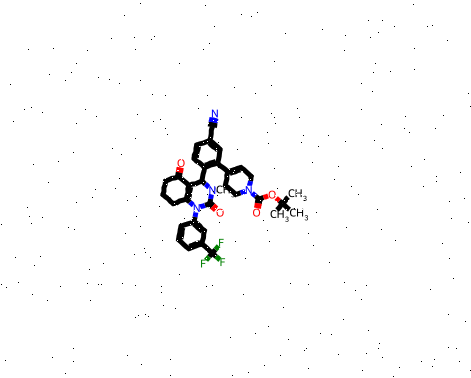 CN1C(=O)N(c2cccc(C(F)(F)F)c2)C2=C(C(=O)CCC2)C1c1ccc(C#N)cc1C1=CCN(C(=O)OC(C)(C)C)CC1